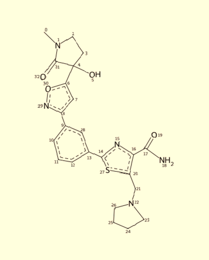 CN1CCC(O)(c2cc(-c3cccc(-c4nc(C(N)=O)c(CN5CCCC5)s4)c3)no2)C1=O